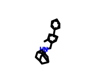 Cc1cc(-c2ccccc2)ccc1CNC12CC3CC(CC(C3)C1)C2